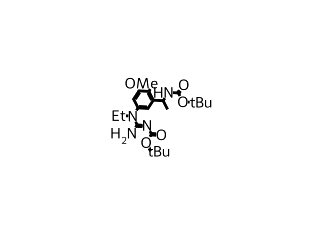 CCN(C(N)=NC(=O)OC(C)(C)C)c1ccc(OC)c(C(C)NC(=O)OC(C)(C)C)c1